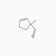 CC1(C=O)C=CCC1